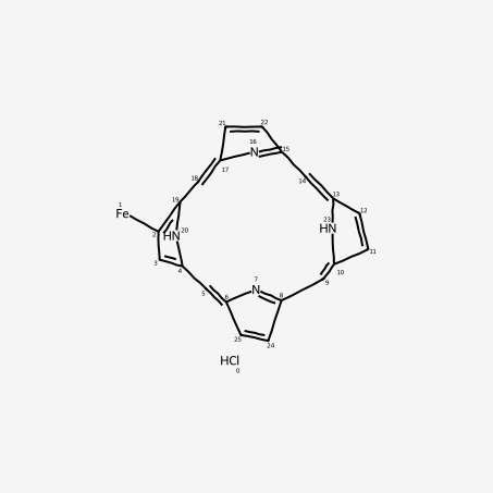 Cl.[Fe][c]1cc2cc3nc(cc4ccc(cc5nc(cc1[nH]2)C=C5)[nH]4)C=C3